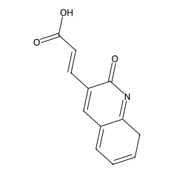 O=C(O)/C=C/C1=CC2=CC=CCC2=NC1=O